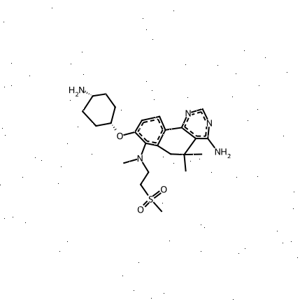 CN(CCS(C)(=O)=O)c1c(O[C@H]2CC[C@@H](N)CC2)ccc2c1CC(C)(C)c1c(N)ncnc1-2